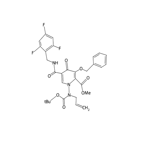 C=CCN(C(=O)OC(C)(C)C)n1cc(C(=O)NCc2c(F)cc(F)cc2F)c(=O)c(OCc2ccccc2)c1C(=O)OC